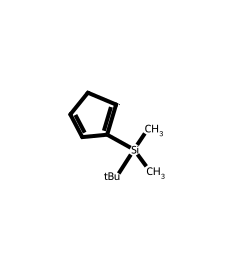 CC(C)(C)[Si](C)(C)C1=[C]CC=C1